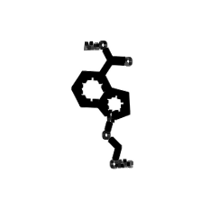 COCOn1ccc2c(C(=O)OC)cccc21